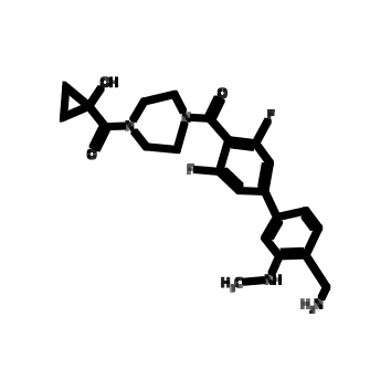 CNc1cc(-c2cc(F)c(C(=O)N3CCN(C(=O)C4(O)CC4)CC3)c(F)c2)ccc1CN